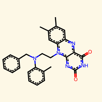 Cc1cc2nc3c(=O)[nH]c(=O)nc-3n(CCN(Cc3ccccc3)c3ccccc3C)c2cc1C